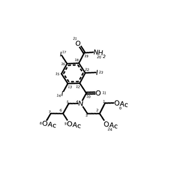 CC(=O)OCC(CN(CC(COC(C)=O)OC(C)=O)C(=O)c1c(I)cc(I)c(C(N)=O)c1I)OC(C)=O